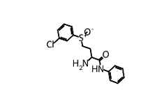 NC(CC[S+]([O-])c1cccc(Cl)c1)C(=O)Nc1ccccc1